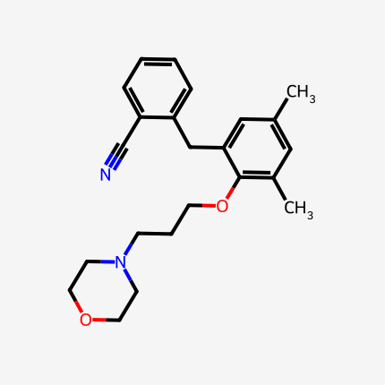 Cc1cc(C)c(OCCCN2CCOCC2)c(Cc2ccccc2C#N)c1